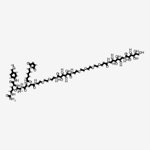 CC(C)[C@H](NC(=O)[C@H](CCC(=O)NCCOCCOCCNC(=O)[C@@H](O)[C@@H](O)[C@H](O)[C@@H](O)C(=O)NCCOCCOCCOCCOCCC(=O)NC[C@H](O)[C@@H](O)[C@H](O)[C@H](O)CNC(=O)[C@H](O)[C@@H](O)[C@H](O)[C@H](O)CO)NC(=O)CCCCCN1C(=O)C=CC1=O)C(=O)N[C@@H](CCCNC(N)=O)C(=O)Nc1ccc(COI)cc1